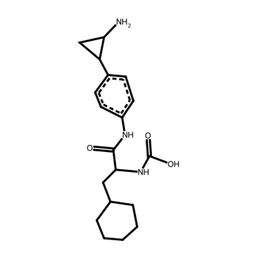 NC1CC1c1ccc(NC(=O)C(CC2CCCCC2)NC(=O)O)cc1